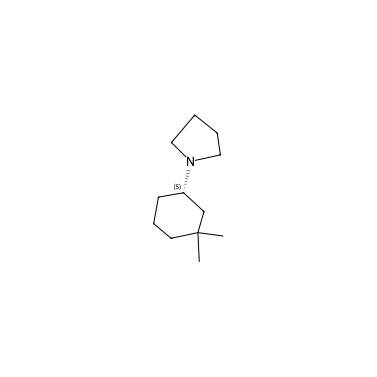 CC1(C)CCC[C@H](N2CCCC2)C1